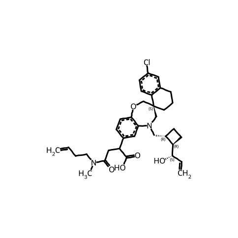 C=CCCN(C)C(=O)CC(C(=O)O)c1ccc2c(c1)N(C[C@@H]1CC[C@H]1[C@@H](O)C=C)C[C@@]1(CCCc3cc(Cl)ccc31)CO2